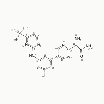 Cc1cc(Nc2nccc(C(F)(F)F)n2)cc(-c2cnc(C(N)C(N)=O)nc2)c1